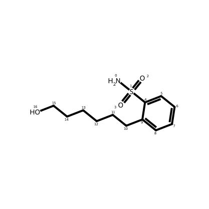 NS(=O)(=O)c1ccccc1CCCCCCO